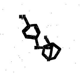 Nc1ccc(N[C@H]2CN3CCC2CC3)cc1